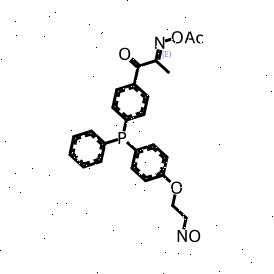 CC(=O)O/N=C(\C)C(=O)c1ccc(P(c2ccccc2)c2ccc(OCCN=O)cc2)cc1